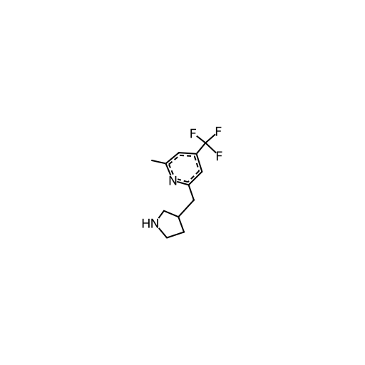 Cc1cc(C(F)(F)F)cc(CC2CCNC2)n1